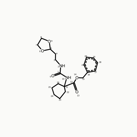 O=C(NCCC1OCCO1)NC1(C(=O)OCc2ccccc2)CCCCC1